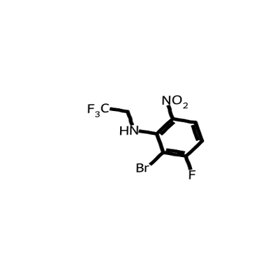 O=[N+]([O-])c1ccc(F)c(Br)c1NCC(F)(F)F